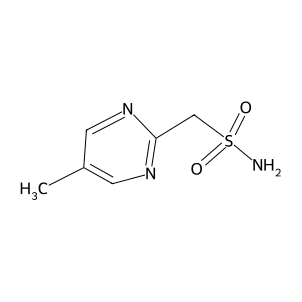 Cc1cnc(CS(N)(=O)=O)nc1